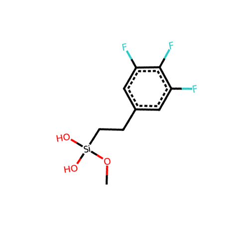 CO[Si](O)(O)CCc1cc(F)c(F)c(F)c1